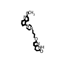 COc1ccc2c(N3CCN(CCCCOc4ccc5c(n4)NC(=O)CC5)CC3)cccc2n1